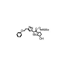 CNC(=O)[C@@H]1C[C@@H](O)CN1C(=O)[C@@H](n1cc(CCOc2ccccc2)nn1)C(C)(C)C